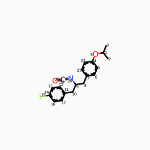 CC(C)Oc1ccc(CC(Cc2ccc(F)cc2)N=C=O)cc1